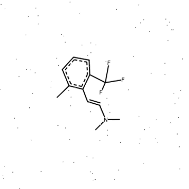 Cc1cccc(C(F)(F)F)c1/C=C/N(C)C